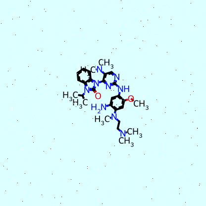 COc1cc(N(C)CCN(C)C)c(N)cc1Nc1ncc(N(C)C)c(-n2c(=O)n(C(C)C)c3ccccc32)n1